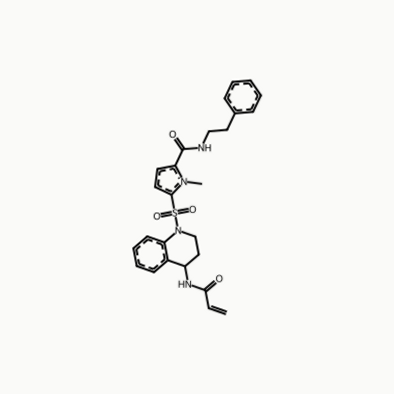 C=CC(=O)NC1CCN(S(=O)(=O)c2ccc(C(=O)NCCc3ccccc3)n2C)c2ccccc21